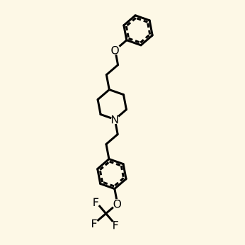 FC(F)(F)Oc1ccc(CCN2CCC(CCOc3ccccc3)CC2)cc1